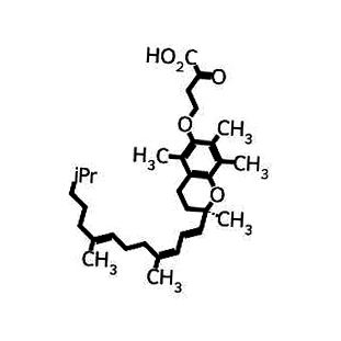 CC(=CC=C[C@@]1(C)CCc2c(C)c(OCCC(=O)C(=O)O)c(C)c(C)c2O1)CC/C=C(\C)CCCC(C)C